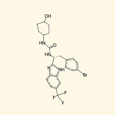 O=C(NC1CCC(O)CC1)N[C@H](Cc1ccc(Br)cc1)c1nc2ccc(C(F)(F)F)cc2[nH]1